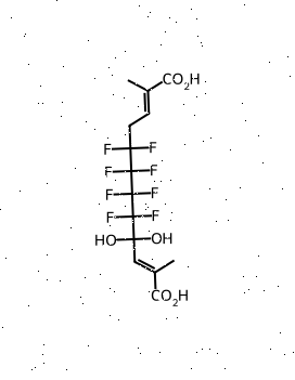 CC(=CCC(F)(F)C(F)(F)C(F)(F)C(F)(F)C(O)(O)C=C(C)C(=O)O)C(=O)O